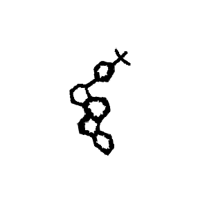 CC(C)(C)c1ccc(C2CCCc3c2ccc2c3ccc3ccccc32)cc1